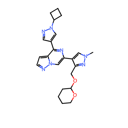 Cn1cc(-c2cn3nccc3c(-c3cnn(C4CCC4)c3)n2)c(COC2CCCCO2)n1